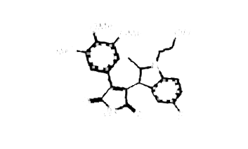 COc1cc(C2=C(C3c4cc(F)ccc4N(CCO)C3C)C(=O)NC2=O)cc(OC)c1OC